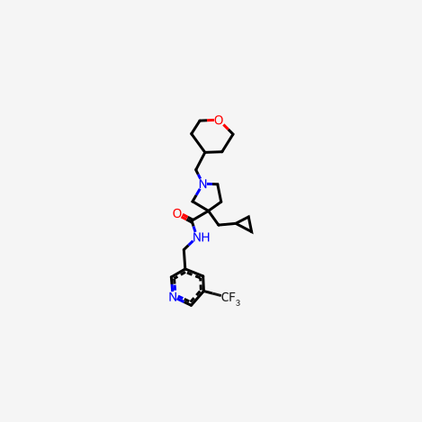 O=C(NCc1cncc(C(F)(F)F)c1)C1(CC2CC2)CCN(CC2CCOCC2)C1